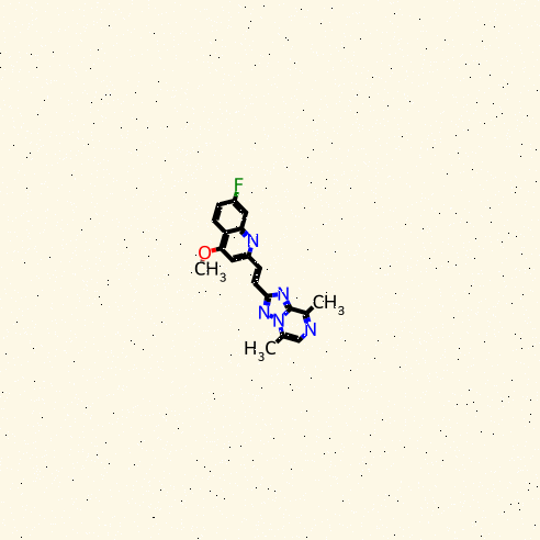 COc1cc(C=Cc2nc3c(C)ncc(C)n3n2)nc2cc(F)ccc12